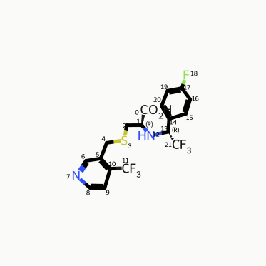 O=C(O)[C@H](CSCc1cnccc1C(F)(F)F)N[C@H](c1ccc(F)cc1)C(F)(F)F